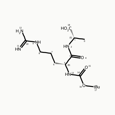 C[C@H](NC(=O)[C@@H](CCCNC(=N)N)NC(=O)OC(C)(C)C)C(=O)O